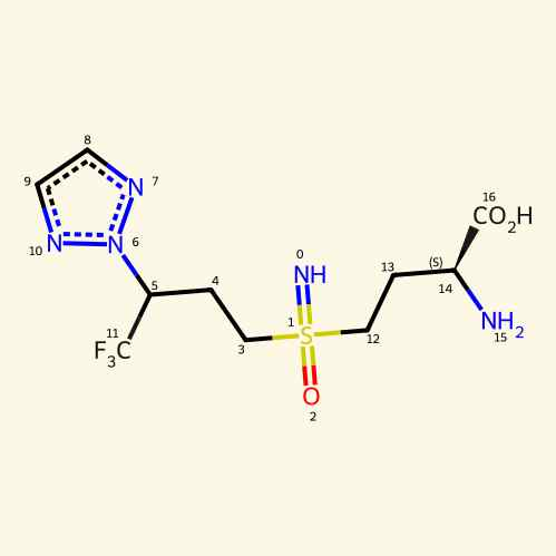 N=S(=O)(CCC(n1nccn1)C(F)(F)F)CC[C@H](N)C(=O)O